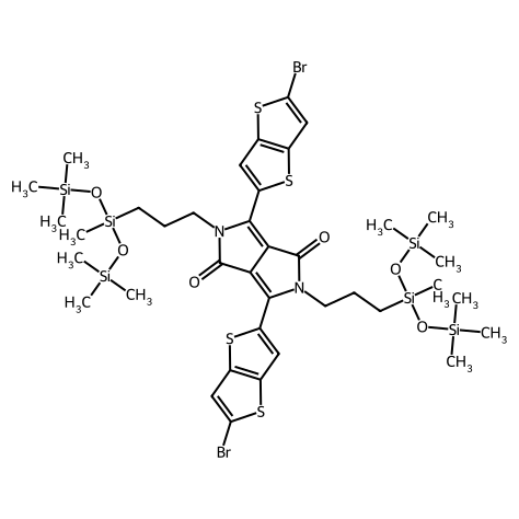 C[Si](C)(C)O[Si](C)(CCCN1C(=O)C2=C(c3cc4sc(Br)cc4s3)N(CCC[Si](C)(O[Si](C)(C)C)O[Si](C)(C)C)C(=O)C2=C1c1cc2sc(Br)cc2s1)O[Si](C)(C)C